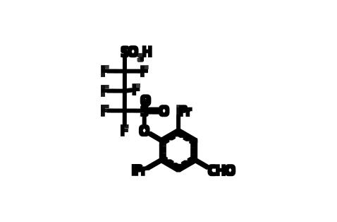 CC(C)c1cc(C=O)cc(C(C)C)c1OS(=O)(=O)C(F)(F)C(F)(F)C(F)(F)S(=O)(=O)O